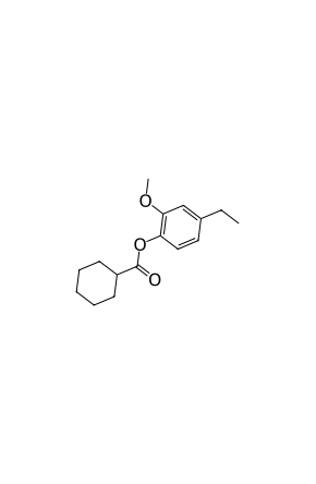 CCc1ccc(OC(=O)C2CCCCC2)c(OC)c1